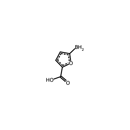 Bc1ccc(C(=O)O)o1